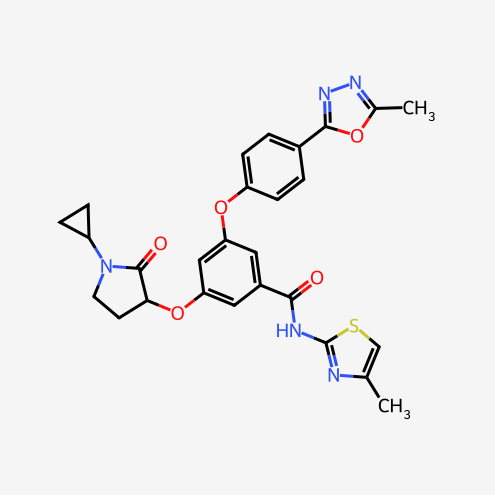 Cc1csc(NC(=O)c2cc(Oc3ccc(-c4nnc(C)o4)cc3)cc(OC3CCN(C4CC4)C3=O)c2)n1